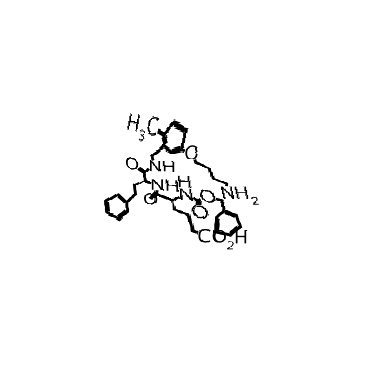 Cc1ccc(OCCCCN)cc1CNC(=O)[C@H](CCc1ccccc1)NC(=O)[C@H](CCCC(=O)O)NC(=O)OCc1ccccc1